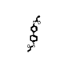 C=CC(=O)Sc1ccc(-c2ccc(SC(=O)C=C)cc2)cc1